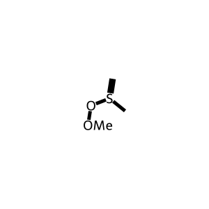 C=S(C)OOC